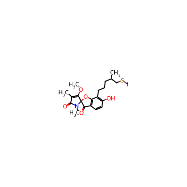 COC1=C(C)C(=O)N(C)[C@]12Oc1c(ccc(O)c1CCC[C@@H](C)CSI)C2=O